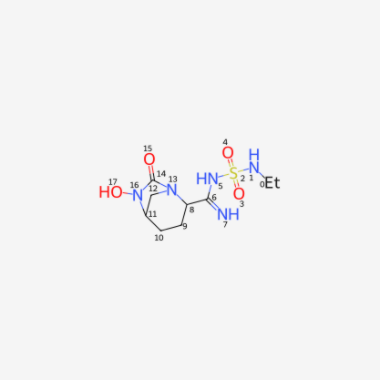 CCNS(=O)(=O)NC(=N)C1CCC2CN1C(=O)N2O